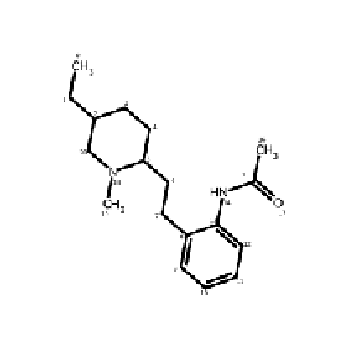 CCC1CCC(CCc2ccccc2NC(C)=O)N(C)C1